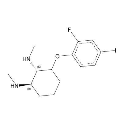 CN[C@@H]1C(Oc2ccc(I)cc2F)CCC[C@H]1NC